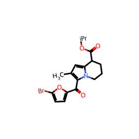 Cc1cc2n(c1C(=O)c1ccc(Br)o1)CCCC2C(=O)OC(C)C